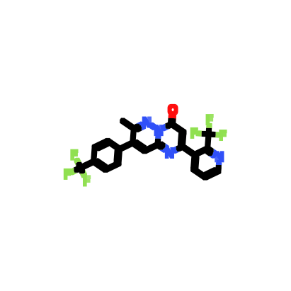 Cc1nn2c(=O)cc(-c3cccnc3C(F)(F)F)nc2cc1-c1ccc(C(F)(F)F)cc1